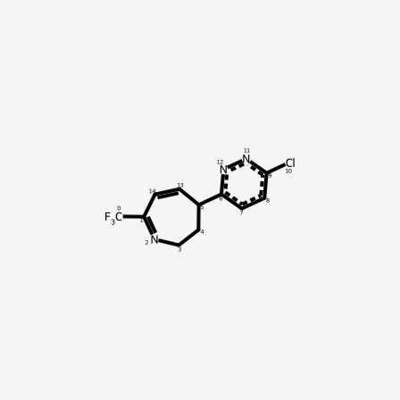 FC(F)(F)C1=NCCC(c2ccc(Cl)nn2)C=C1